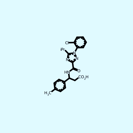 Cc1ccc(C(CC(=O)O)NC(=O)c2nc(C(C)C)n(-c3ccccc3Cl)n2)cc1